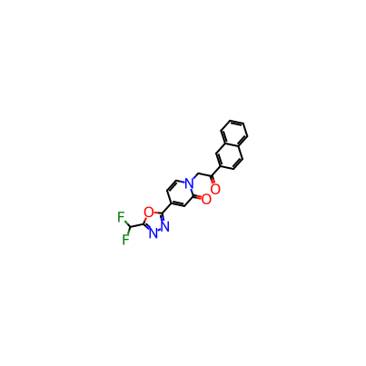 O=C(Cn1ccc(-c2nnc(C(F)F)o2)cc1=O)c1ccc2ccccc2c1